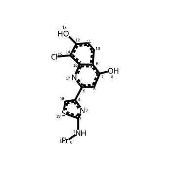 CC(C)Nc1nc(-c2cc(O)c3ccc(O)c(Cl)c3n2)cs1